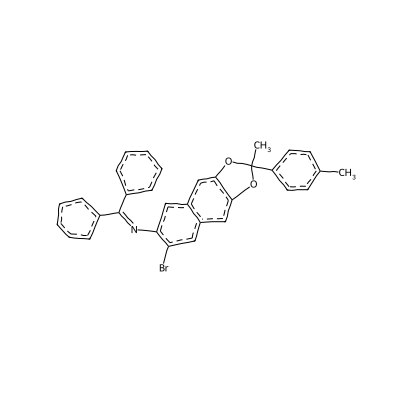 Cc1ccc(C2(C)Oc3cc4cc(Br)c(N=C(c5ccccc5)c5ccccc5)cc4cc3O2)cc1